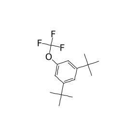 CC(C)(C)c1cc(OC(F)(F)F)cc(C(C)(C)C)c1